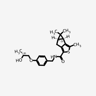 Cc1sc(C(=O)NCc2ccc(OC[C@@H](C)O)cc2)c2c1[C@H]1[C@@H](C2)C1(C)C